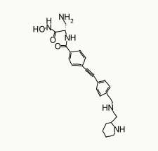 NC[C@H](NC(=O)c1ccc(C#Cc2ccc(CNCC3CCCCN3)cc2)cc1)C(=O)NO